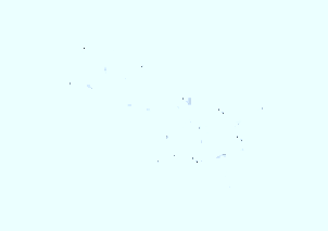 COCCNc1c(C(=O)NC2CCC(c3ccccc3)CC2)[nH]c(=O)[nH]c1=O